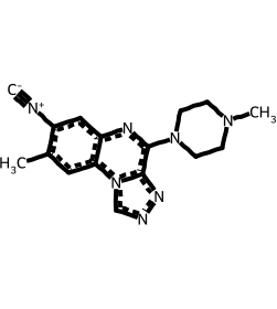 [C-]#[N+]c1cc2nc(N3CCN(C)CC3)c3nncn3c2cc1C